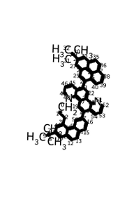 C=CCc1cc(C(C)(C)C)cc2ccc3ccc(-c4cc5c(cc(-c6cc7cc(C(C)(C)C)cc8ccc9cccc6c9c87)c6cccnc65)c5ncccc45)cc3c12